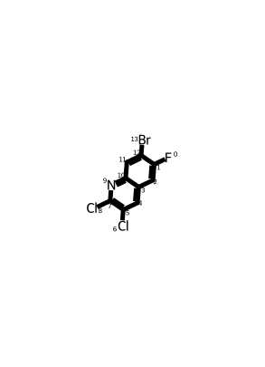 Fc1cc2cc(Cl)c(Cl)nc2cc1Br